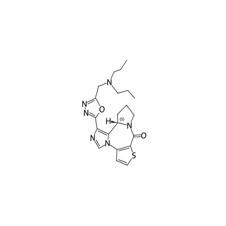 CCCN(CCC)Cc1nnc(-c2ncn3c2[C@@H]2CCCN2C(=O)c2sccc2-3)o1